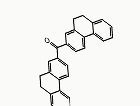 O=C(c1ccc2c(c1)CCc1ccccc1-2)c1ccc2c(c1)CCc1ccccc1-2